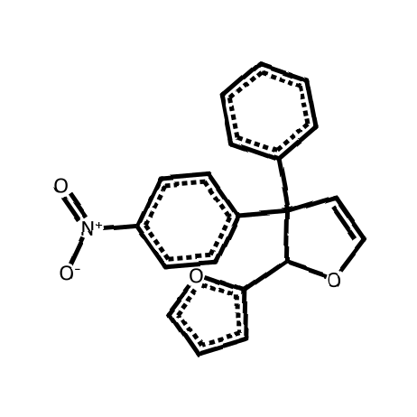 O=[N+]([O-])c1ccc(C2(c3ccccc3)C=COC2c2ccco2)cc1